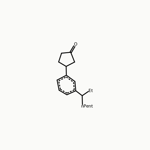 CCCCCC(CC)c1cccc(C2CCC(=O)C2)c1